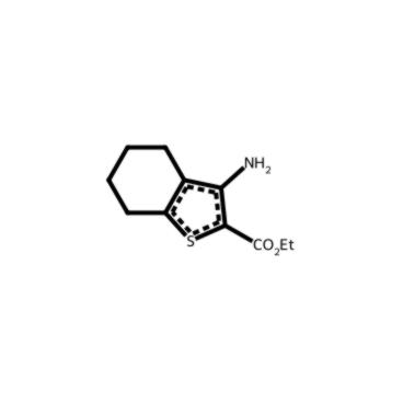 CCOC(=O)c1sc2c(c1N)CCCC2